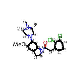 COc1cc2c(cc1N1C[C@@H](C)N(C)[C@@H](C)C1)N(C(=O)Cc1cccc(Cl)c1Cl)CC2